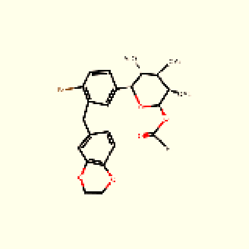 CCC(=O)O[C@H]1O[C@@H](c2ccc(Br)c(Cc3ccc4c(c3)OCCO4)c2)[C@H](OC(C)=O)[C@@H](OC(C)=O)[C@H]1OC(C)=O